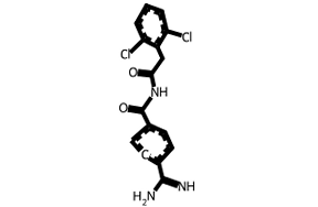 N=C(N)c1ccc(C(=O)NC(=O)Cc2c(Cl)cccc2Cl)cc1